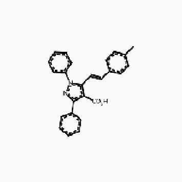 Cc1ccc(C=Cc2c(C(=O)O)c(-c3ccccc3)nn2-c2ccccc2)cc1